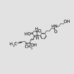 CC#CC[C@@H](C)[C@H](O)/C=C/[C@@H]1[C@H]2c3cccc(CCCC(=O)NCCCO)c3O[C@H]2C[C@H]1O